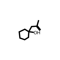 C=C(C)CC1(O)CCCCC1